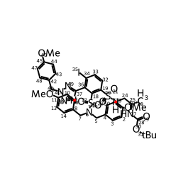 COc1ccc(CN(Cc2ccc(OC)cc2)S(=O)(=O)c2c(S(=O)(=O)NC[C@@H](C)NC(=O)OC(C)(C)C)ccc(I)c2-c2nnn(Cc3ccc(OC)cc3)n2)cc1